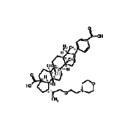 C=C(COCCN1CCOCC1)[C@@H]1CC[C@]2(C(=O)O)CC[C@]3(C)[C@H](CC[C@@H]4[C@@]5(C)CC=C(c6ccc(C(=O)O)cc6)C(C)(C)[C@@H]5CC[C@]43C)[C@@H]12